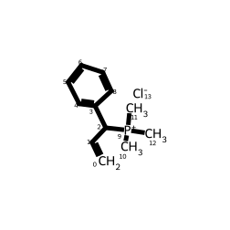 C=CC(c1ccccc1)[P+](C)(C)C.[Cl-]